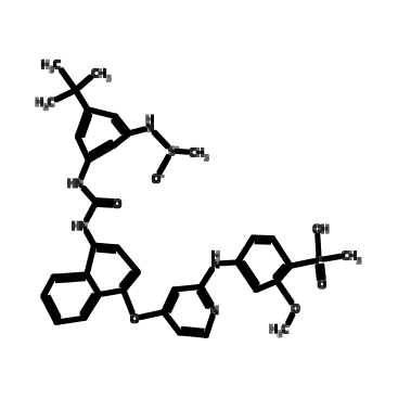 COc1cc(Nc2cc(Oc3ccc(NC(=O)Nc4cc(N[S+](C)[O-])cc(C(C)(C)C)c4)c4ccccc34)ccn2)ccc1P(C)(=O)O